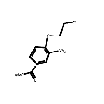 COC(=O)c1ccc(SCCCl)c(N)c1